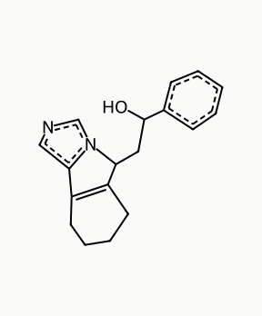 OC(CC1C2=C(CCCC2)c2cncn21)c1ccccc1